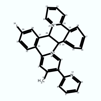 Cc1cc2[n+](cc1-c1ccccn1)C1c3ccccc3-c3cccc[n+]3C1c1cc(I)ccc1-2